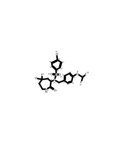 O=C1NCCC(F)(F)CC1N(Cc1ccc(OC(F)F)cc1)S(=O)(=O)c1ccc(Cl)cc1